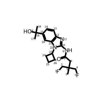 CC(CF)(CF)CC(=O)Nc1nc2ccc(C(C)(C)O)cc2n1C1CCC1